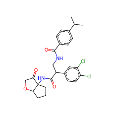 CC(C)c1ccc(C(=O)NCC(C(=O)NC23CCCC2OCC3=O)c2ccc(Cl)c(Cl)c2)cc1